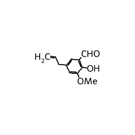 C=CCc1cc(C=O)c(O)c(OC)c1